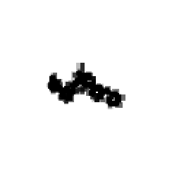 Cc1ccc(-c2cncc3[nH]c(-c4n[nH]c5cnc(-c6cncc(CN7CCCCC7)c6)c(F)c45)nc23)s1